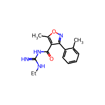 CCNC(=N)NC(=O)c1c(-c2ccccc2C)noc1C